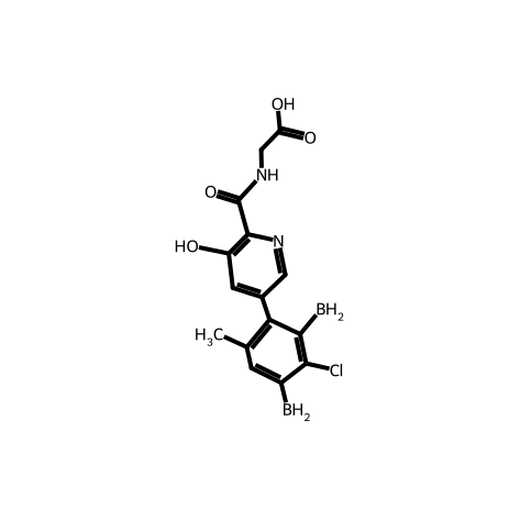 Bc1cc(C)c(-c2cnc(C(=O)NCC(=O)O)c(O)c2)c(B)c1Cl